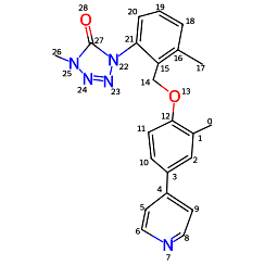 Cc1cc(-c2ccncc2)ccc1OCc1c(C)cccc1-n1nnn(C)c1=O